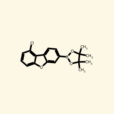 CC1(C)OB(c2ccc3c(c2)oc2cccc(Cl)c23)OC1(C)C